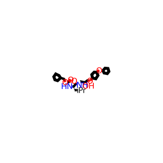 CC(C)C[C@H](NC(=O)OCc1ccccc1)C(=O)NCC(O)COc1ccc(Oc2ccccc2)cc1